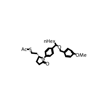 CCCCCCC(OCc1ccc(OC)cc1)c1ccc(N2C(=O)CC[C@@H]2CCSC(C)=O)cc1